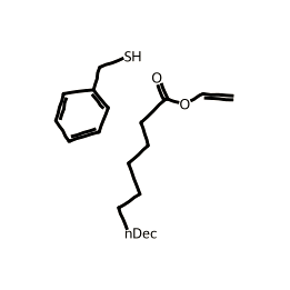 C=COC(=O)CCCCCCCCCCCCCCC.SCc1ccccc1